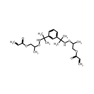 C=CC(=O)OCC(C)ONC(C)(C)c1cccc(C(C)(C)NOC(C)COC(=O)C=C)c1